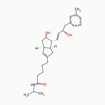 Cc1cccc(C[C@@H](O)/C=C/[C@@H]2[C@H]3CC(CCCCC(=O)NC(C)C)=C[C@H]3C[C@H]2O)c1